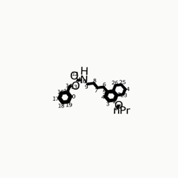 CCCOc1ccc(CCCCNC(=O)OCc2ccccc2)c2c1CCCC2